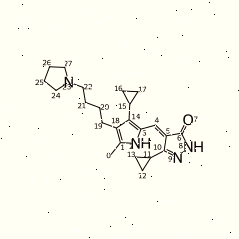 Cc1[nH]c(C=C2C(=O)NN=C2C2CC2)c(C2CC2)c1CCCCN1CCCC1